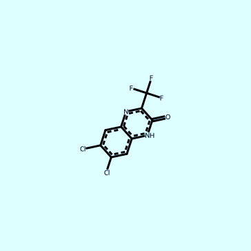 O=c1[nH]c2cc(Cl)c(Cl)cc2nc1C(F)(F)F